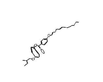 CCCCCCCCCC=COc1ccc(C(=O)Oc2ccc(OCC(C)CC)cc2)cc1